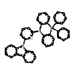 c1ccc([Si]2(c3ccccc3)c3ccccc3N(c3cccc(-n4c5ccccc5c5ccccc54)n3)c3ccccc32)cc1